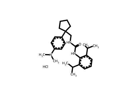 CC(C)c1cccc(C(C)C)c1NC(=O)NCC1(c2ccc(N(C)C)cc2)CCCC1.Cl